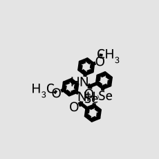 COc1cccc(NC(=O)c2ccccc2[Se][Se]c2ccccc2C(=O)Nc2cccc(OC)c2)c1